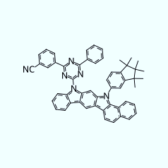 CC1(C)c2ccc(-n3c4cc5c(cc4c4ccc6ccccc6c43)c3ccccc3n5-c3nc(-c4ccccc4)nc(-c4cccc(C#N)c4)n3)cc2C(C)(C)C1(C)C